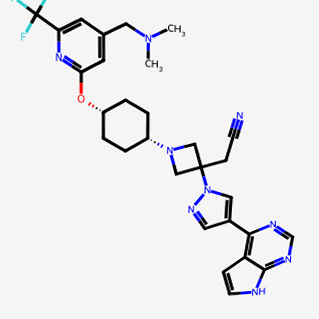 CN(C)Cc1cc(O[C@H]2CC[C@@H](N3CC(CC#N)(n4cc(-c5ncnc6[nH]ccc56)cn4)C3)CC2)nc(C(F)(F)F)c1